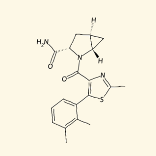 Cc1nc(C(=O)N2[C@H](C(N)=O)C[C@H]3C[C@@H]32)c(-c2cccc(C)c2C)s1